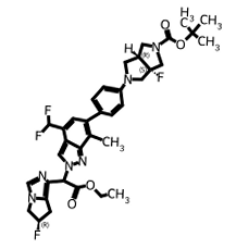 CCOC(=O)C(c1ncn2c1C[C@@H](F)C2)n1cc2c(C(F)F)cc(-c3ccc(N4C[C@@H]5CN(C(=O)OC(C)(C)C)C[C@@]5(F)C4)cc3)c(C)c2n1